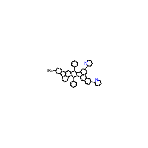 CC(C)(C)c1ccc2c(c1)c1cccc3c4c(-c5ccccc5)c5c6cc7ccc(-c8ccccn8)cc7c7cc(-c8ccccn8)cc(c5c(-c5ccccc5)c4cc2c13)c76